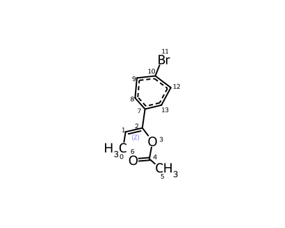 C/C=C(\OC(C)=O)c1ccc(Br)cc1